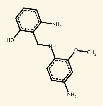 COc1cc(N)ccc1NCc1c(N)cccc1O